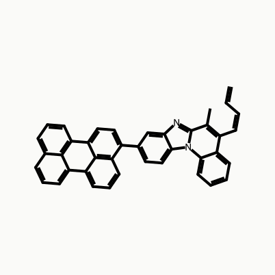 C=C/C=C\c1c(C)c2nc3cc(-c4ccc5c6cccc7cccc(c8cccc4c85)c76)ccc3n2c2ccccc12